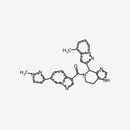 Cc1cccn2nc(C3c4nc[nH]c4CCN3C(=O)c3cnn4cc(-c5ccn(C)n5)ccc34)cc12